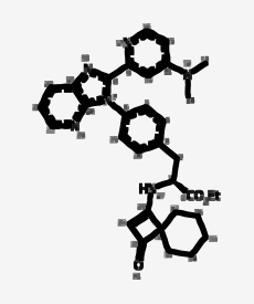 CCOC(=O)[C@H](Cc1ccc(-n2c(-c3cc(N(C)C)ccn3)nc3cccnc32)cc1)NC1=CC(=O)C12CCCCC2